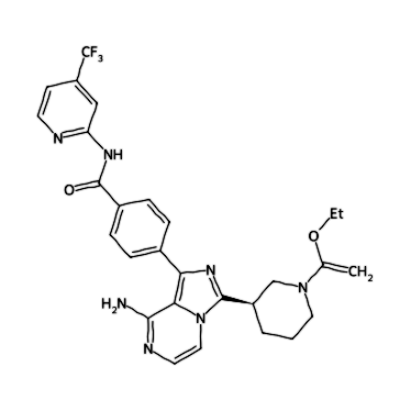 C=C(OCC)N1CCC[C@@H](c2nc(-c3ccc(C(=O)Nc4cc(C(F)(F)F)ccn4)cc3)c3c(N)nccn23)C1